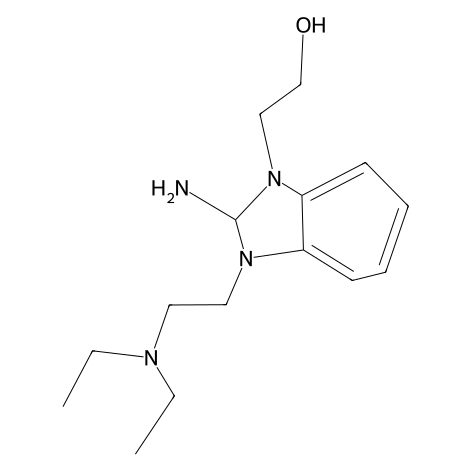 CCN(CC)CCN1c2ccccc2N(CCO)C1N